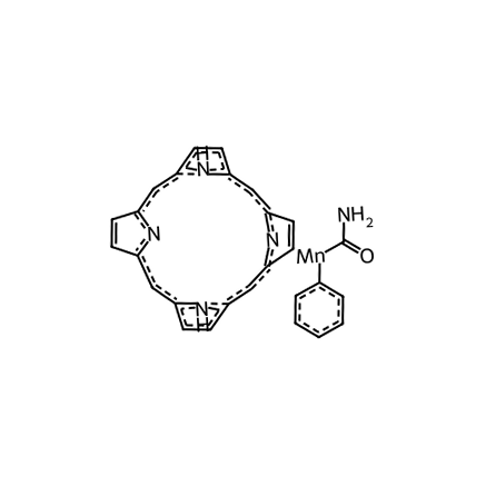 C1=Cc2cc3ccc(cc4nc(cc5ccc(cc1n2)[nH]5)C=C4)[nH]3.N[C](=O)[Mn][c]1ccccc1